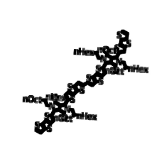 CCCCCCCCC(CCCCCC)CN1C(=O)C2=C(c3cc4sc5cc(-c6cc7sc8cc(C9=C%10C(=O)N(CC(CCCCCC)CCCCCCCC)C(c%11cc%12sc%13ccsc%13c%12s%11)=C%10C(=O)N9CC(CCCCCC)CCCCCCCC)sc8c7s6)sc5c4s3)N(CC(CCCCCC)CCCCCCCC)C(=O)C2=C1c1cc2sc3ccsc3c2s1